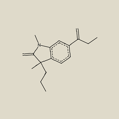 C=C(CC)c1ccc2c(c1)N(C)C(=C)C2(C)CCC